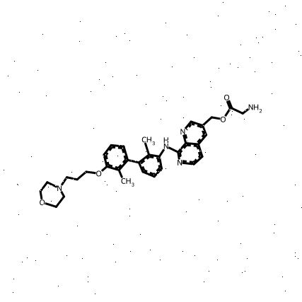 Cc1c(Nc2nccc3cc(COC(=O)CN)cnc23)cccc1-c1cccc(OCCCN2CCOCC2)c1C